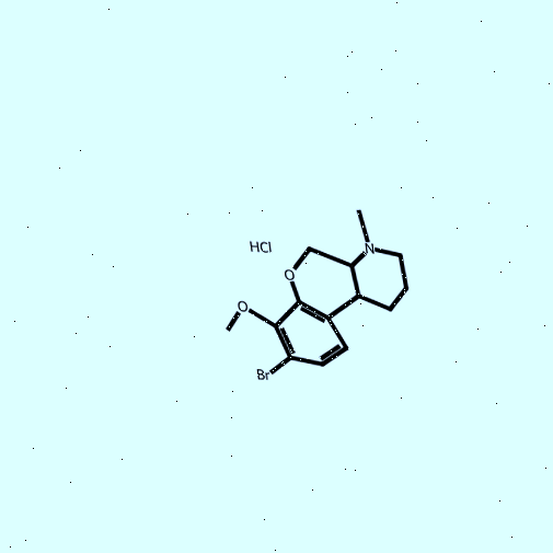 COc1c(Br)ccc2c1OCC1C2CCCN1C.Cl